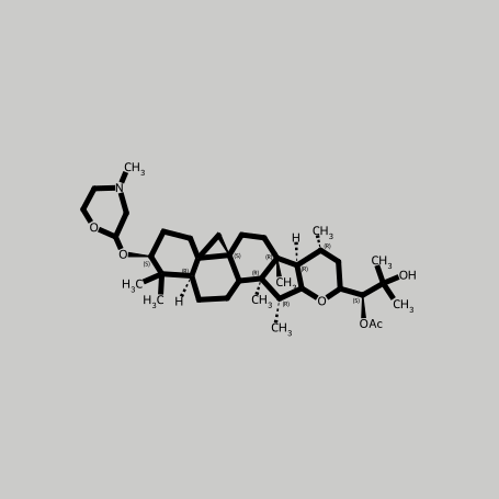 CC(=O)O[C@@H](C1C[C@@H](C)[C@H]2C(O1)[C@H](C)[C@@]1(C)C3CC[C@H]4C(C)(C)[C@@H](OC5CN(C)CCO5)CCC45C[C@@]35CC[C@]21C)C(C)(C)O